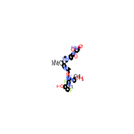 CCc1c(F)ccc2cc(O)cc(-c3ncc4c(N5CCC[C@@](C)(O)C5)nc(OCC5(CN6CCC(CN7CCN(c8ccc9c(c8)CN([C@H]8CCC(=O)NC8=O)C9=O)CC7)(OC)CC6)CC5)nc4c3F)c12